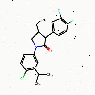 CCC1CN(c2ccc(Cl)c(C(C)C)c2)C(=O)C1c1ccc(F)c(F)c1